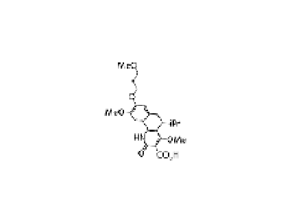 COCCCOc1cc2c(cc1OC)-c1[nH]c(=O)c(C(=O)O)c(OC)c1C(C(C)C)C2